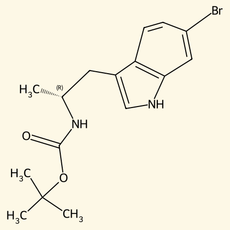 C[C@H](Cc1c[nH]c2cc(Br)ccc12)NC(=O)OC(C)(C)C